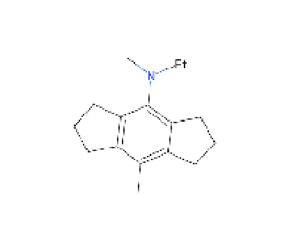 CCN(C)c1c2c(c(C)c3c1CCC3)CCC2